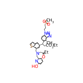 CCOC(=O)CC(c1cc(CN2Cc3nc(O)ccc3O[C@H](CC)C2)c2sccc2c1)c1ccc2c(nnn2CCCS(C)(=O)=O)c1C